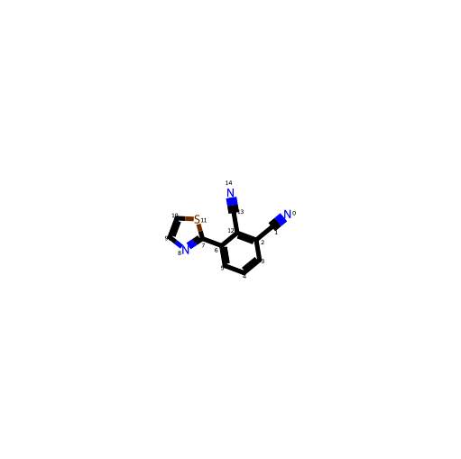 N#Cc1cccc(-c2n[c]cs2)c1C#N